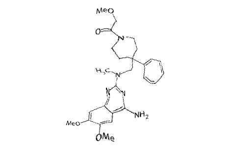 COCC(=O)N1CCC(CN(C)c2nc(N)c3cc(OC)c(OC)cc3n2)(c2ccccc2)CC1